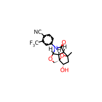 CC12C[C@H](O)[C@]3(CO[C@H]4[C@@H]3[C@@H]1C(=O)N4c1ccc(C#N)c(C(F)(F)F)c1)O2